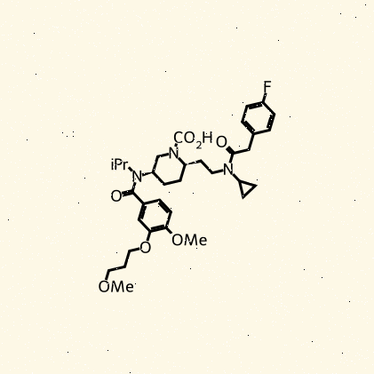 COCCCOc1cc(C(=O)N(C(C)C)[C@@H]2CC[C@H](CCN(C(=O)Cc3ccc(F)cc3)C3CC3)N(C(=O)O)C2)ccc1OC